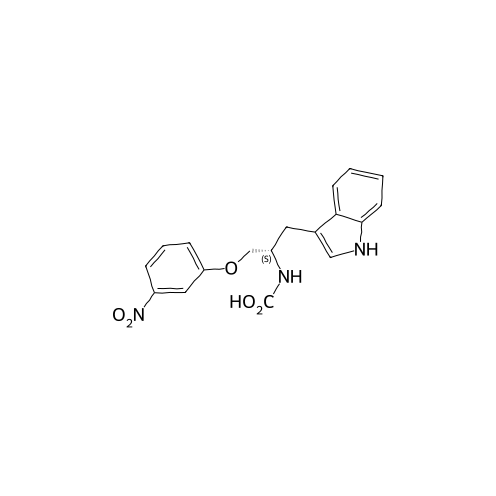 O=C(O)N[C@H](COc1cccc([N+](=O)[O-])c1)Cc1c[nH]c2ccccc12